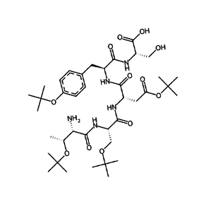 C[C@@H](OC(C)(C)C)[C@H](N)C(=O)N[C@@H](COC(C)(C)C)C(=O)N[C@@H](CC(=O)OC(C)(C)C)C(=O)N[C@@H](Cc1ccc(OC(C)(C)C)cc1)C(=O)N[C@@H](CO)C(=O)O